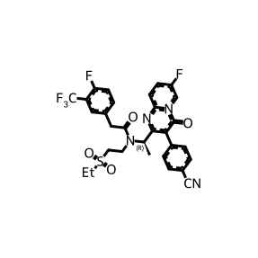 CCS(=O)(=O)CCN(C(=O)Cc1ccc(F)c(C(F)(F)F)c1)[C@H](C)c1nc2ccc(F)cn2c(=O)c1-c1ccc(C#N)cc1